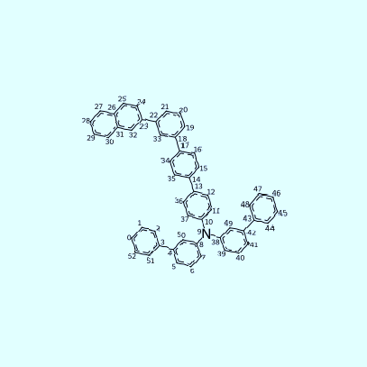 c1ccc(-c2cccc(N(c3ccc(-c4ccc(-c5cccc(-c6ccc7ccccc7c6)c5)cc4)cc3)c3cccc(-c4ccccc4)c3)c2)cc1